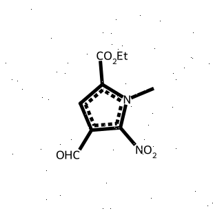 CCOC(=O)c1cc(C=O)c([N+](=O)[O-])n1C